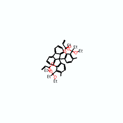 C=CC(=O)Oc1c(C2(c3ccc(C)c(C(CC)(OCC)OCC)c3OC(=O)C=C)c3ccccc3-c3ccccc32)ccc(C)c1C(CC)(OCC)OCC